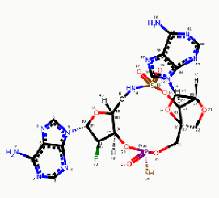 Nc1ncnc2c1ncn2[C@@H]1O[C@@H]2CNS(=O)(=O)O[C@H]3[C@H]4OC[C@]3(CO[P@](=O)(S)O[C@H]2[C@H]1F)O[C@H]4n1cnc2c(N)ncnc21